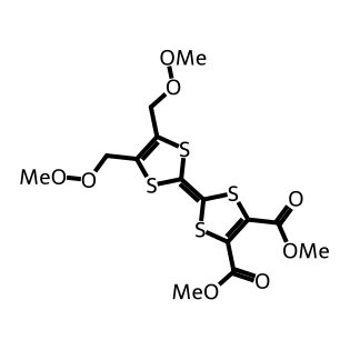 COOCC1=C(COOC)SC(=C2SC(C(=O)OC)=C(C(=O)OC)S2)S1